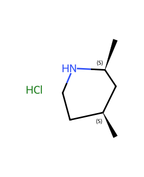 C[C@H]1CCN[C@@H](C)C1.Cl